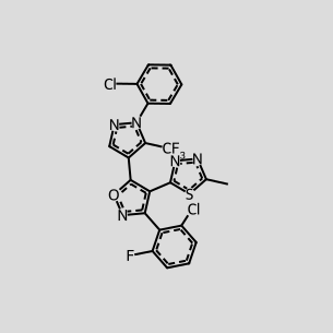 Cc1nnc(-c2c(-c3c(F)cccc3Cl)noc2-c2cnn(-c3ccccc3Cl)c2C(F)(F)F)s1